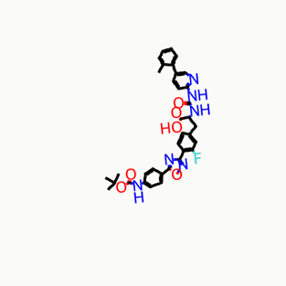 Cc1ccccc1-c1ccc(NC(=O)NC(Cc2ccc(-c3noc(-c4ccc(NC(=O)OC(C)(C)C)cc4)n3)c(F)c2)C(=O)O)nc1